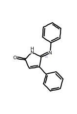 O=C1C=C(c2ccccc2)/C(=N/c2ccccc2)N1